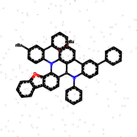 CCCCc1ccc(N2c3cc(CCCC)cc4c3B(c3ccc5c(oc6ccccc65)c32)N(c2ccccc2)c2ccc(-c3ccccc3)cc2-4)c(-c2ccccc2)c1